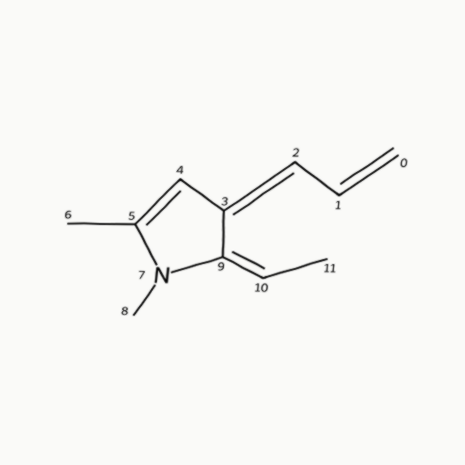 C=C/C=c1/cc(C)n(C)/c1=C/C